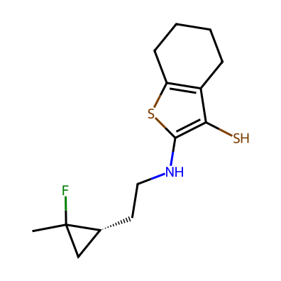 CC1(F)C[C@H]1CCNc1sc2c(c1S)CCCC2